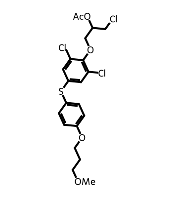 COCCCOc1ccc(Sc2cc(Cl)c(OCC(CCl)OC(C)=O)c(Cl)c2)cc1